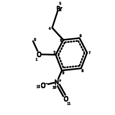 COc1c(CBr)cccc1[N+](=O)[O-]